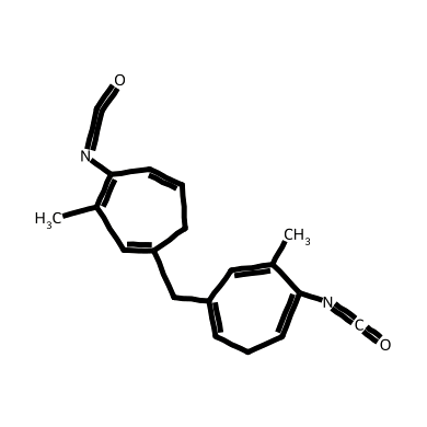 CC1=CC(CC2=CC(C)=C(N=C=O)C=CC2)=CCC=C1N=C=O